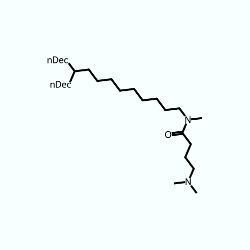 CCCCCCCCCCC(CCCCCCCCCC)CCCCCCCCCN(C)C(=O)CCCN(C)C